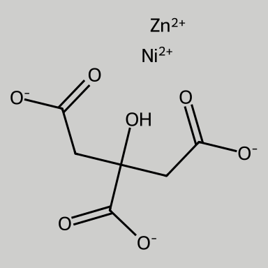 O=C([O-])CC(O)(CC(=O)[O-])C(=O)[O-].[Ni+2].[Zn+2]